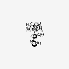 CC(C)(C)[Si](C)(C)OC[C@H]1O[C@@H](C2N=CC=CN2)C[C@@H]1O